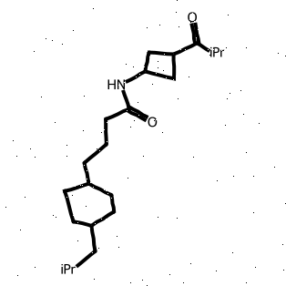 CC(C)CC1CCC(CCCC(=O)NC2CC(C(=O)C(C)C)C2)CC1